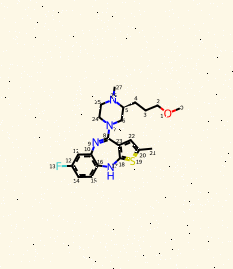 COCCC[C@H]1CN(C2=Nc3cc(F)ccc3Nc3sc(C)cc32)CCN1C